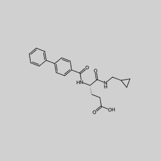 O=C(O)CC[C@H](NC(=O)c1ccc(-c2ccccc2)cc1)C(=O)NCC1CC1